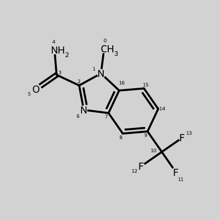 Cn1c(C(N)=O)nc2cc(C(F)(F)F)ccc21